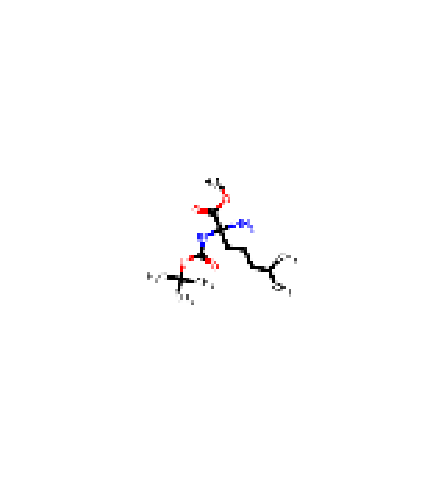 COC(=O)C(N)(CCCC(C)C)NC(=O)OC(C)(C)C